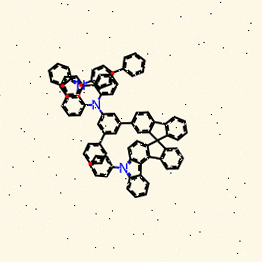 c1ccc(-c2ccc(-n3c4ccccc4c4cccc(N(c5cc(-c6ccccc6)cc(-c6ccc7c(c6)C6(c8ccccc8-7)c7ccccc7-c7c6ccc6c7c7ccccc7n6-c6ccccc6)c5)c5ccccc5-c5ccccc5)c43)cc2)cc1